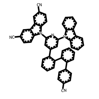 N#Cc1ccc(-c2ccccc2-c2ccccc2-c2cc(-n3c4ccccc4c4ccccc43)nc(-n3c4ccc(C#N)cc4c4cc(C#N)ccc43)c2)cc1